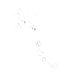 CCOC(=O)C1=C(CNCc2cn(CC(C)CC(C)Cn3cc(CNC(=O)C(=O)c4c(C)c(C(=O)Nc5ccc(F)c(F)c5)n(C)c4C)nn3)nn2)NC(c2nccs2)=NC1c1ccc(F)cc1Br